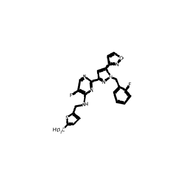 O=C(O)c1ccc(CNc2nc(-c3cc(-c4ccon4)n(Cc4ccccc4F)n3)ncc2F)s1